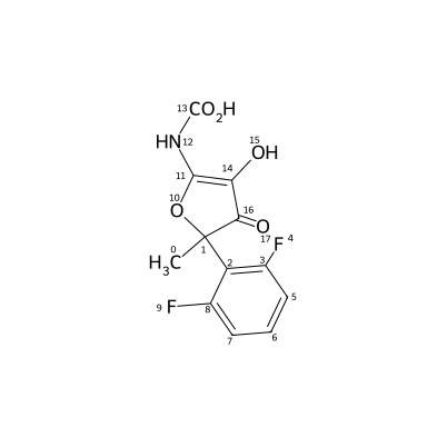 CC1(c2c(F)cccc2F)OC(NC(=O)O)=C(O)C1=O